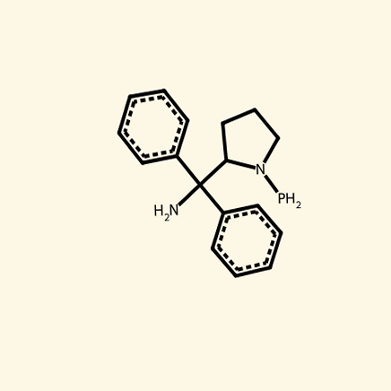 NC(c1ccccc1)(c1ccccc1)C1CCCN1P